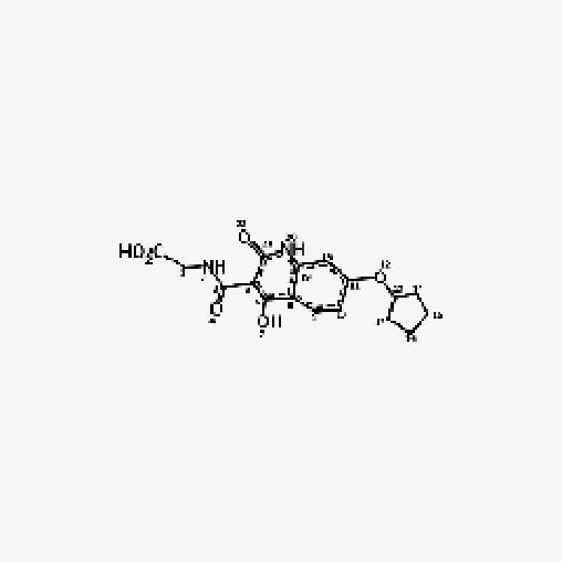 O=C(O)CNC(=O)c1c(O)c2ccc(OC3CCCC3)cc2[nH]c1=O